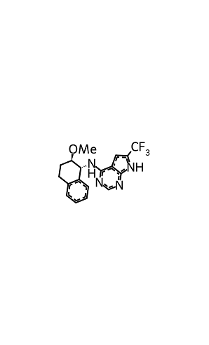 CO[C@@H]1CCc2ccccc2[C@H]1Nc1ncnc2[nH]c(C(F)(F)F)cc12